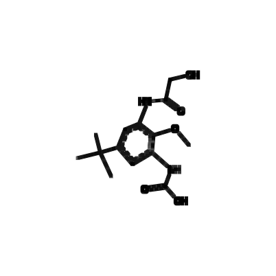 COc1c(NC(=O)O)cc(C(C)(C)C)cc1NC(=O)CO